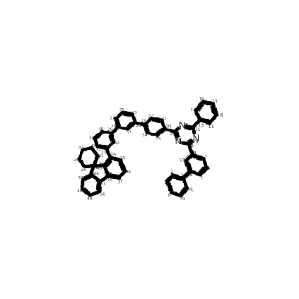 c1ccc(-c2cccc(-c3nc(-c4ccccc4)nc(-c4ccc(-c5cccc(-c6cccc(-c7cccc8c7C7(CCCCC7)c7ccccc7-8)c6)c5)cc4)n3)c2)cc1